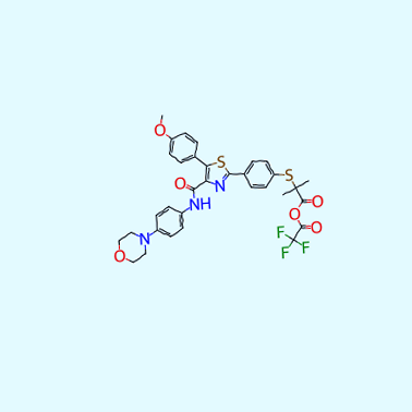 COc1ccc(-c2sc(-c3ccc(SC(C)(C)C(=O)OC(=O)C(F)(F)F)cc3)nc2C(=O)Nc2ccc(N3CCOCC3)cc2)cc1